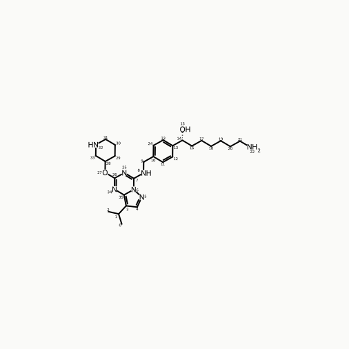 CC(C)c1cnn2c(NCc3ccc([C@H](O)CCCCCCN)cc3)nc(OC3CCCNC3)nc12